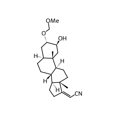 COCO[C@H]1C[C@@H]2CC[C@@H]3[C@H](CC[C@]4(C)/C(=C\C#N)CC[C@@H]34)[C@@]2(C)C[C@@H]1O